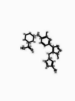 Cc1nc(-c2nnn(C)c2Cn2cc(Br)nn2)ccc1O[C@H]1CCC[C@H](C(=O)O)C1